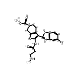 CCNCCC(=O)Nc1sc2c(c1-c1nc3cc(Br)ccc3s1)CCN(C(=O)OC(C)(C)C)C2